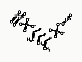 C=CF.C=CF.C=CF.O=P([O-])([O-])[O-].O=P([O-])([O-])[O-].[O]=[U+2]=[O].[O]=[U+2]=[O].[O]=[U+2]=[O]